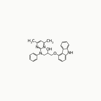 Cc1cc(C)nc(N(CC(O)COc2cccc3[nH]c4ccccc4c23)c2ccccc2)n1